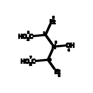 CCC(C(=O)O)N(O)C(CC)C(=O)O